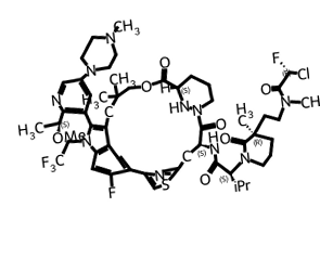 CO[C@@H](C)c1ncc(N2CCN(C)CC2)cc1-c1c2c3cc(c(F)cc3n1CC(F)(F)F)-c1csc(n1)C[C@H](NC(=O)[C@H](C(C)C)N1CCC[C@](C)(CCN(C)C(=O)[C@H](F)Cl)C1=O)C(=O)N1CCC[C@H](N1)C(=O)OCC(C)(C)C2